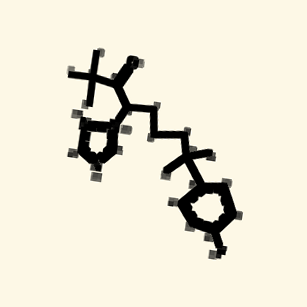 CC(C)(C)C(=O)C(CCCC(C)(C)c1ccc(F)cc1)n1cncn1